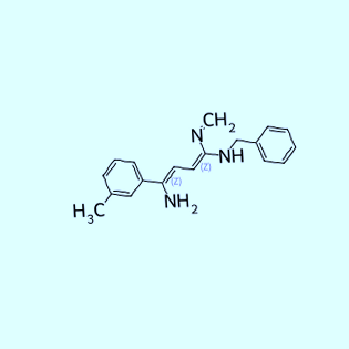 C=N/C(=C\C=C(/N)c1cccc(C)c1)NCc1ccccc1